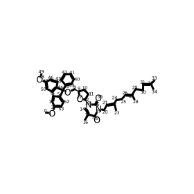 COc1ccc(C(OC[C@H]2[CH]C[C@H](n3cc(C)c(=O)n(C/C=C(\C)CC/C=C(\C)CCC=C(C)C)c3=O)O2)(c2ccccc2)c2ccc(OC)cc2)cc1